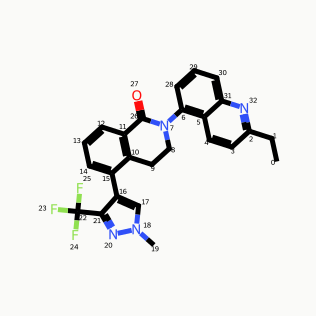 CCc1ccc2c(N3CCc4c(cccc4-c4cn(C)nc4C(F)(F)F)C3=O)cccc2n1